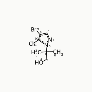 CC(C)(CO)n1ncc(Br)c1Cl